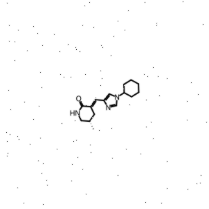 C[C@@H]1CNC(=O)/C(=C/c2cn(C3CCCCC3)cn2)C1